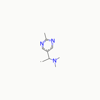 [CH2]C(c1cnc(C)nc1)N(C)C